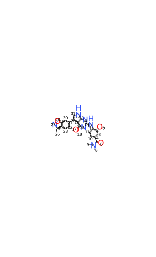 COc1cc(C(=O)N(C)C)ccc1Nc1nc(OC)c2c(-c3ccc4c(C)noc4c3)c[nH]c2n1